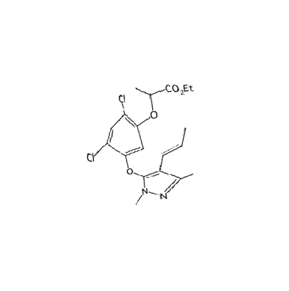 CC=Cc1c(C)nn(C)c1Oc1cc(OC(C)C(=O)OCC)c(Cl)cc1Cl